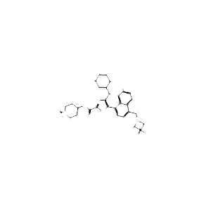 O=C(NC1CCS(=O)(=O)CC1)c1nc(CC2CCCCC2)c(-c2ccc(CN3CC(O)(C(F)(F)F)C3)c3ccccc23)s1